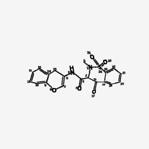 CN1C(C(=O)NC2=COc3ccccc3C2)C(=O)c2ccccc2S1(=O)=O